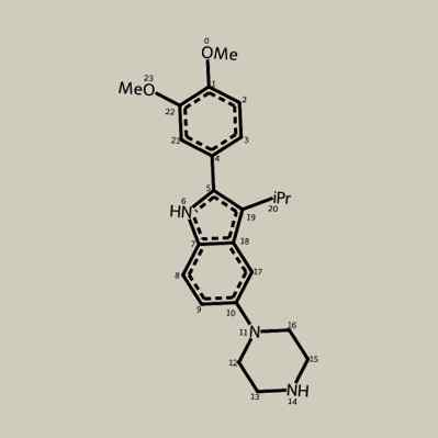 COc1ccc(-c2[nH]c3ccc(N4CCNCC4)cc3c2C(C)C)cc1OC